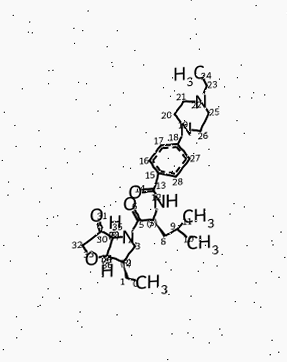 CC[C@@H]1CN(C(=O)[C@H](CC(C)C)NC(=O)c2ccc(N3CCN(CC)CC3)cc2)[C@@H]2C(=O)CO[C@H]12